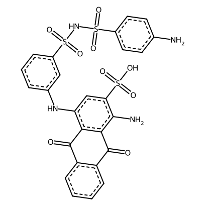 Nc1ccc(S(=O)(=O)NS(=O)(=O)c2cccc(Nc3cc(S(=O)(=O)O)c(N)c4c3C(=O)c3ccccc3C4=O)c2)cc1